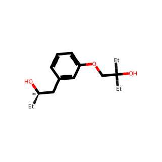 CC[C@@H](O)Cc1cccc(OCC(O)(CC)CC)c1